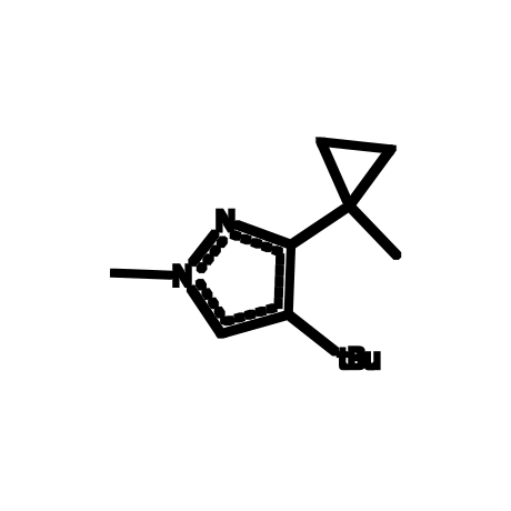 Cn1cc(C(C)(C)C)c(C2(C)CC2)n1